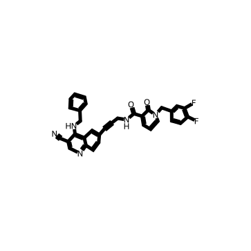 N#Cc1cnc2ccc(C#CCNC(=O)c3cccn(Cc4ccc(F)c(F)c4)c3=O)cc2c1NCc1ccccc1